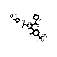 Cc1cc(C(O)(C(F)(F)F)C(F)(F)F)ccc1-c1sc(C(=O)N[C@H]2C[C@H](OC=O)C2)nc1C(=O)N1CCC[C@@H]1C